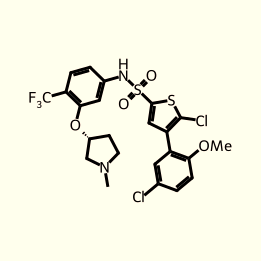 COc1ccc(Cl)cc1-c1cc(S(=O)(=O)Nc2ccc(C(F)(F)F)c(O[C@@H]3CCN(C)C3)c2)sc1Cl